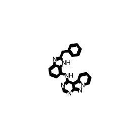 c1ccc(Cc2nc3cccc(Nc4ncnc5nn6ccccc6c45)c3[nH]2)cc1